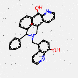 Oc1ccc(CN(Cc2ccc(O)c3ncccc23)C(c2ccccc2)c2ccccc2)c2cccnc12